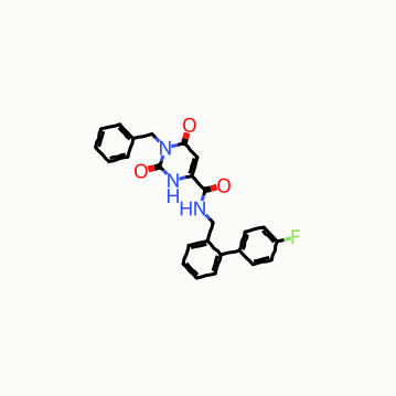 O=C(NCc1ccccc1-c1ccc(F)cc1)c1cc(=O)n(Cc2ccccc2)c(=O)[nH]1